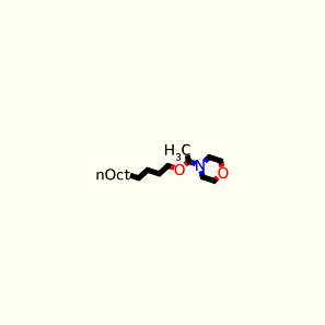 CCCCCCCCCCCCOC(C)N1CCOCC1